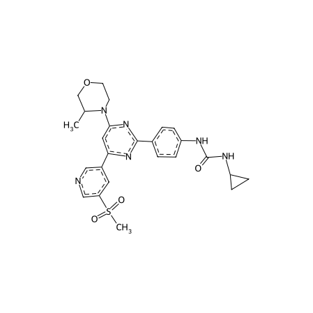 CC1COCCN1c1cc(-c2cncc(S(C)(=O)=O)c2)nc(-c2ccc(NC(=O)NC3CC3)cc2)n1